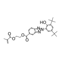 C=C(C)C(=O)OCCOC(=O)c1ccc2c(c1)n1n(-c3cc(C(C)(C)C)cc(C(C)(C)C)c3O)n21